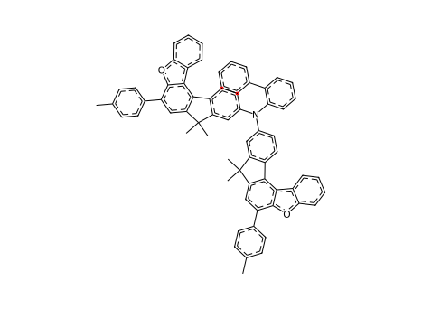 Cc1ccc(-c2cc3c(c4c2oc2ccccc24)-c2ccc(N(c4ccc5c(c4)C(C)(C)c4cc(-c6ccc(C)cc6)c6oc7ccccc7c6c4-5)c4ccccc4-c4ccccc4)cc2C3(C)C)cc1